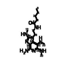 CCCCC(=O)NCCn1c(NC)nc2c(N)nc(NC)c(NC)c21